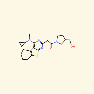 CN(c1nc(CC(=O)N2CCC(CO)C2)nc2sc3c(c12)CCCC3)C1CC1